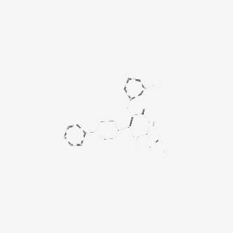 Cc1cccc(CC2=C(C3CCC(c4ccccc4)CC3)NC(S(=O)(=O)O)NC2=O)c1